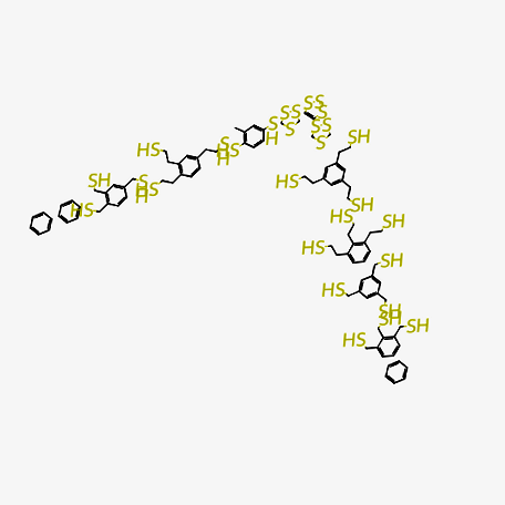 C1=CSSS1.C1SCSS1.C1SCSS1.Cc1cc(S)ccc1S.SCCc1cc(CCS)cc(CCS)c1.SCCc1ccc(CCS)c(CCS)c1.SCCc1cccc(CCS)c1CCS.SCc1cc(CS)cc(CS)c1.SCc1ccc(CS)c(CS)c1.SCc1cccc(CS)c1CS.c1ccccc1.c1ccccc1.c1ccccc1